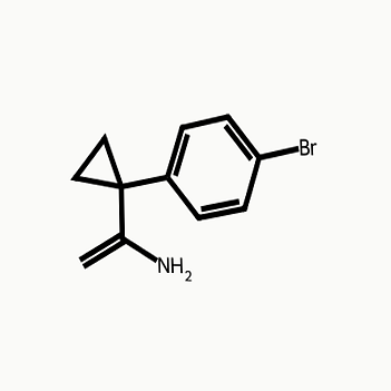 C=C(N)C1(c2ccc(Br)cc2)CC1